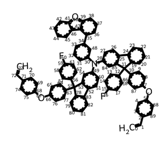 C=Cc1ccc(Oc2ccc(C3(c4ccc(F)cc4)c4ccccc4-c4ccc(N(c5cccc(-c6cccc7oc8ccccc8c67)c5)c5ccc6c(c5)C(c5ccc(F)cc5)(c5ccc(Oc7ccc(C=C)cc7)cc5)c5ccccc5-6)cc43)cc2)cc1